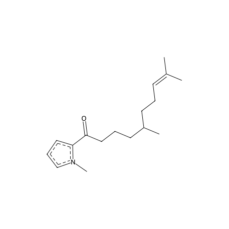 CC(C)=CCCC(C)CCCC(=O)c1cccn1C